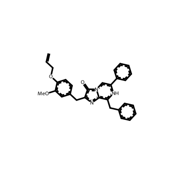 C=CCOc1ccc(Cc2nc3c(Cc4ccccc4)[nH]c(-c4ccccc4)cn-3c2=O)cc1OC